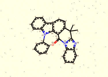 CC1(C)c2ccc3c4ccccc4n(-c4ccccc4)c3c2C(=O)n2c1nc1ccccc12